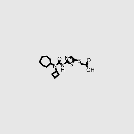 O=C(O)CSc1cnc(NC(=O)N(C2CCCCCC2)C2CCC2)s1